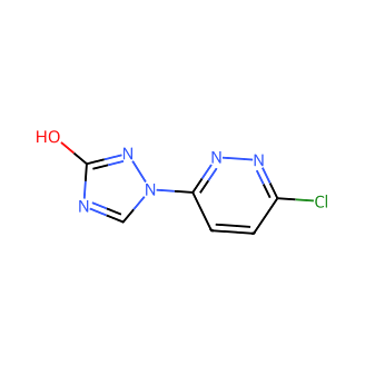 Oc1ncn(-c2ccc(Cl)nn2)n1